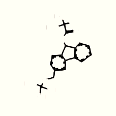 CC(C)(C)OCc1ccc2c(c1)-c1ccccc1C2OC(=O)C(C)(C)C